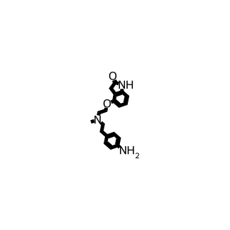 CN(CCOc1cccc2c1CC(=O)N2)CCc1ccc(N)cc1